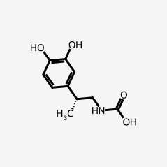 C[C@@H](CNC(=O)O)c1ccc(O)c(O)c1